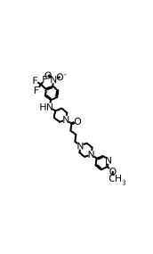 COc1ccc(N2CCN(CCCC(=O)N3CCC(Nc4ccc([N+](=O)[O-])c(C(F)(F)F)c4)CC3)CC2)cn1